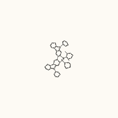 Cc1cccc(C)c1B1c2cc3c(cc2-c2cc4c5ccccc5n(-c5ccccc5)c4cc2N1c1ccccc1)c1ccccc1n3-c1ccccc1